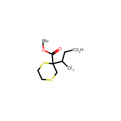 CC(C)(C)OC(=O)C1(C(CC(=O)O)C(F)(F)F)CSCCS1